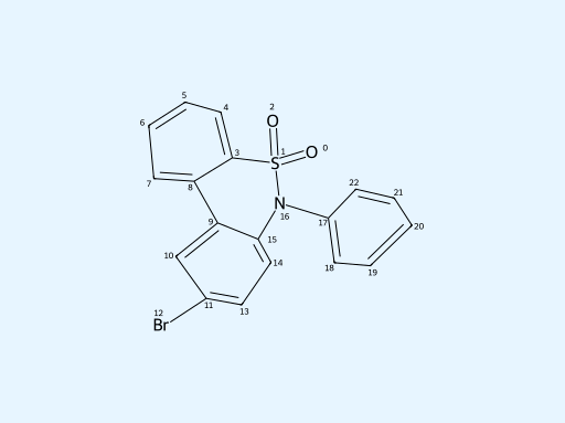 O=S1(=O)c2ccccc2-c2cc(Br)ccc2N1c1ccccc1